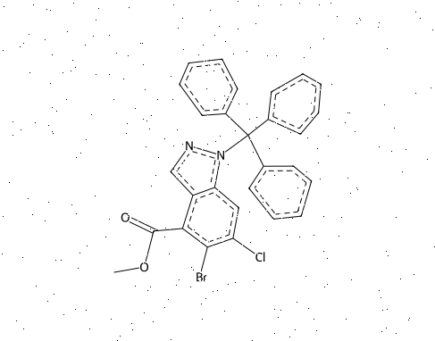 COC(=O)c1c(Br)c(Cl)cc2c1cnn2C(c1ccccc1)(c1ccccc1)c1ccccc1